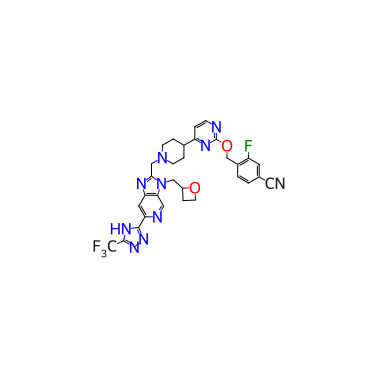 N#Cc1ccc(COc2nccc(C3CCN(Cc4nc5cc(-c6nnc(C(F)(F)F)[nH]6)ncc5n4CC4CCO4)CC3)n2)c(F)c1